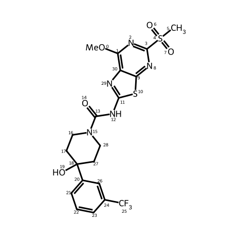 COc1nc(S(C)(=O)=O)nc2sc(NC(=O)N3CCC(O)(c4cccc(C(F)(F)F)c4)CC3)nc12